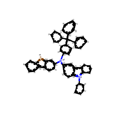 c1ccc(-n2c3ccccc3c3cc(N(c4ccc(C(c5ccccc5)(c5ccccc5)c5ccccc5)cc4)c4ccc5c(c4)sc4ccccc45)ccc32)cc1